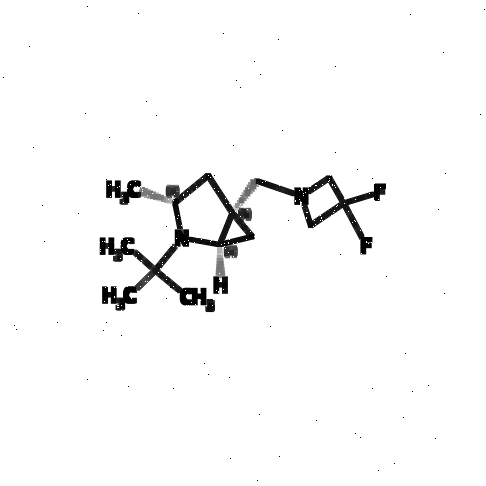 C[C@@H]1C[C@@]2(CN3CC(F)(F)C3)C[C@H]2N1C(C)(C)C